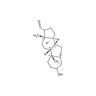 C[C@]12CCC(O)CC1=CC[C@@H]1[C@H]2CC[C@]2(C)C(C=O)CC[C@@H]12